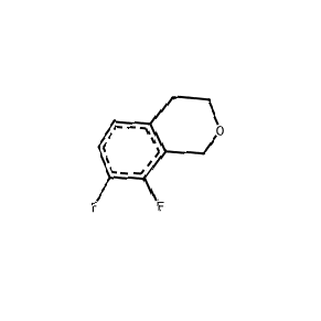 Fc1ccc2c(c1F)COCC2